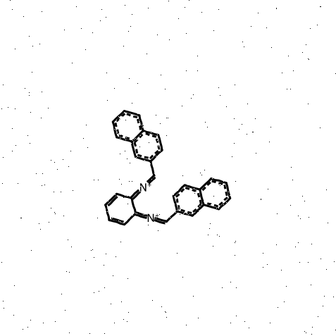 C1=CC(=[N+]=Cc2ccc3ccccc3c2)C(=[N+]=Cc2ccc3ccccc3c2)C=C1